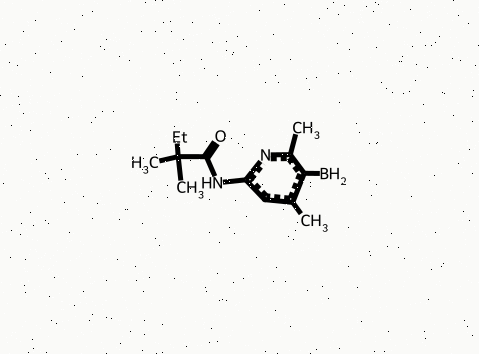 Bc1c(C)cc(NC(=O)C(C)(C)CC)nc1C